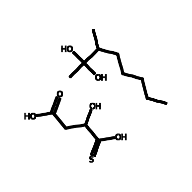 CCCCCC(C)C(C)(O)O.O=C(O)CC(O)C(O)=S